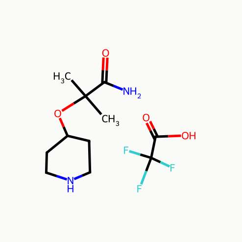 CC(C)(OC1CCNCC1)C(N)=O.O=C(O)C(F)(F)F